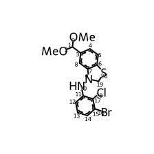 COC(OC)c1ccc2c(c1)N(Nc1cccc(Br)c1Cl)CS2